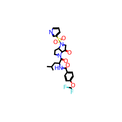 CC(C)CC(NC(=O)c1ccc(OC(F)F)cc1)C(=O)N1CCC2C1C(=O)CN2S(=O)(=O)c1cccnc1